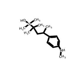 CNc1ccc(C(C)CC(C)(C)[Si](C)(C)O)cc1